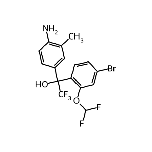 Cc1cc(C(O)(c2ccc(Br)cc2OC(F)F)C(F)(F)F)ccc1N